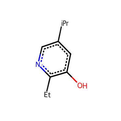 CCc1ncc(C(C)C)cc1O